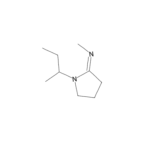 CCC(C)N1CCC/C1=N/C